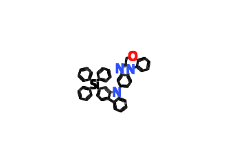 c1ccc([Si](c2ccccc2)(c2ccccc2)c2ccc3c4ccccc4n(-c4ccc5c(c4)nc4n5-c5ccccc5OC4)c3c2)cc1